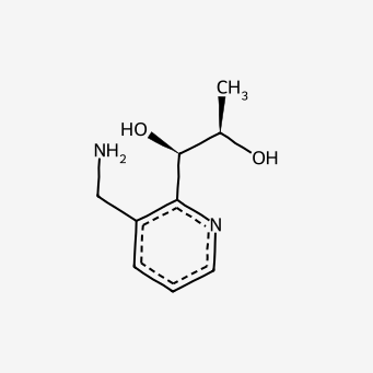 C[C@@H](O)[C@H](O)c1ncccc1CN